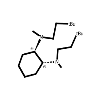 CN(CCC(C)(C)C)[C@@H]1CCCC[C@H]1N(C)CCC(C)(C)C